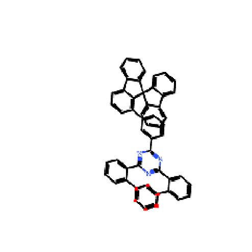 c1ccc(-c2ccccc2-c2nc(-c3cccc(-c4cccc5c4C4(c6ccccc6-c6ccccc64)c4ccccc4-5)c3)nc(-c3ccccc3-c3ccccc3)n2)cc1